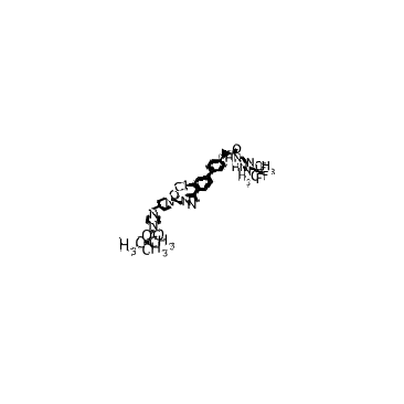 CC(C)(C)OC(=O)N1CCN(CC2CCN(C(=O)Cn3cc(-c4ccc(-c5ccc([C@H]6C[C@@H]6C(=O)NCc6nc(C(C)(C)C(F)(F)F)n[nH]6)cc5)cc4Cl)cn3)CC2)CC1